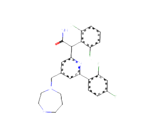 NC(=O)C(c1cc(CN2CCCNCC2)cc(-c2ccc(F)cc2F)n1)c1c(Cl)cccc1Cl